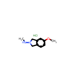 CNN1Cc2ccc(OC)cc2C1.Cl